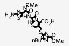 CCCCn1nc(C(=O)OC)nc1SCC1=C(C(=O)O)N2C(=O)[C@@H](NC(=O)/C(=N\OC)c3csc(N)n3)[C@H]2SC1